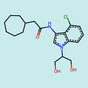 O=C(CC1CCCCCC1)Nc1cn(C(CO)CO)c2cccc(Cl)c12